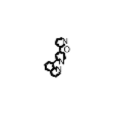 c1cnc2c(-c3cc4c(cn3)oc3ncccc34)cccc2c1